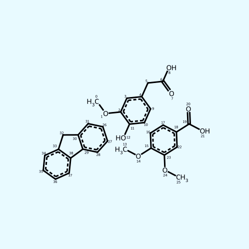 COc1cc(CC(=O)O)ccc1O.COc1ccc(C(=O)O)cc1OC.c1ccc2c(c1)Cc1ccccc1-2